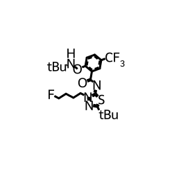 CC(C)(C)NOc1ccc(C(F)(F)F)cc1C(=O)N=c1sc(C(C)(C)C)nn1CCCCF